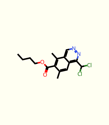 CCCCOC(=O)c1c(C)cc2c(C(Cl)Cl)nncc2c1C